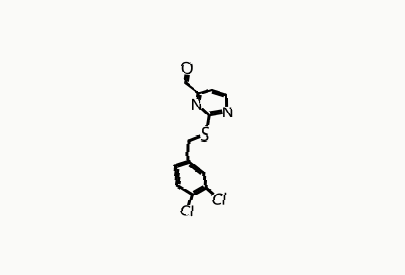 O=Cc1ccnc(SCc2ccc(Cl)c(Cl)c2)n1